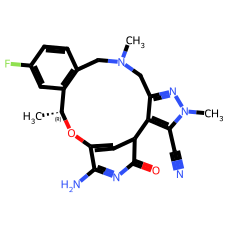 C[C@H]1OC2=CC(C(=O)N=C2N)c2c(nn(C)c2C#N)CN(C)Cc2ccc(F)cc21